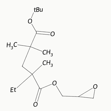 CCC(C)(CC(C)(C)C(=O)OC(C)(C)C)C(=O)OCC1CO1